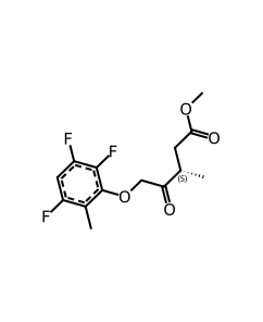 COC(=O)C[C@H](C)C(=O)COc1c(C)c(F)cc(F)c1F